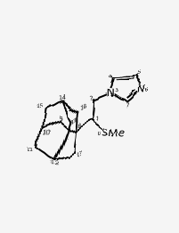 CSC(Cn1ccnc1)C12CC3CC(CC(C3)C1)C2